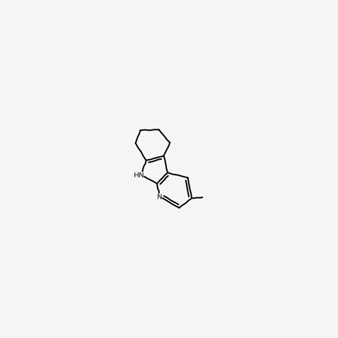 Cc1cnc2[nH]c3c(c2c1)CCCC3